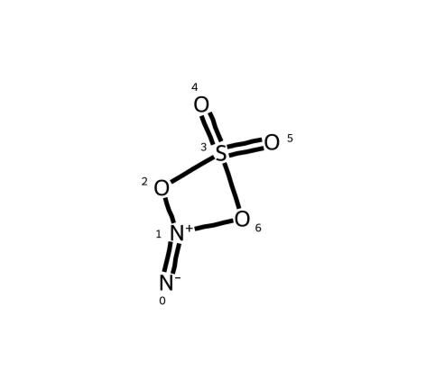 [N-]=[N+]1OS(=O)(=O)O1